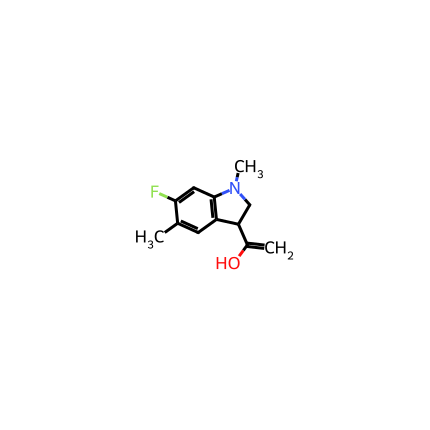 C=C(O)C1CN(C)c2cc(F)c(C)cc21